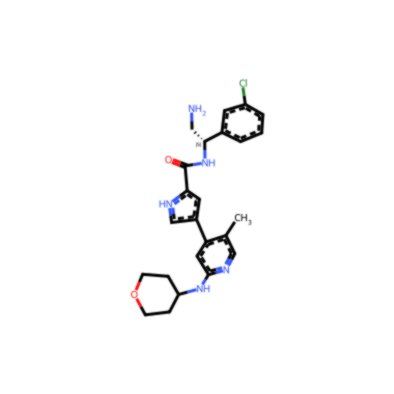 Cc1cnc(NC2CCOCC2)cc1-c1c[nH]c(C(=O)N[C@H](CN)c2cccc(Cl)c2)c1